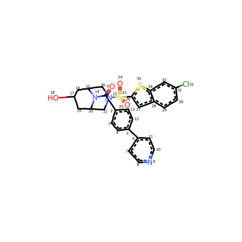 O=C(c1ccc(-c2ccncc2)cc1)N1C2CC(O)CC1CN(S(=O)(=O)c1cc3ccc(Cl)cc3s1)C2